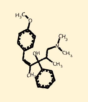 COc1ccc(C=C(C)C(O)(c2ccccc2)C(C)CN(C)C)cc1